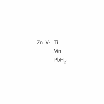 [Mn].[PbH2].[Ti].[V].[Zn]